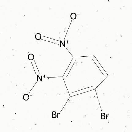 O=[N+]([O-])c1ccc(Br)c(Br)c1[N+](=O)[O-]